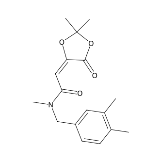 Cc1ccc(CN(C)C(=O)C=C2OC(C)(C)OC2=O)cc1C